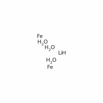 O.O.O.[Fe].[Fe].[LiH]